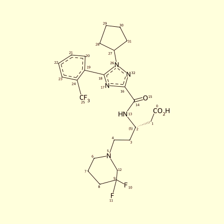 O=C(O)C[C@H](CCN1CCCC(F)(F)C1)NC(=O)c1nc(-c2ccccc2C(F)(F)F)n(C2CCCC2)n1